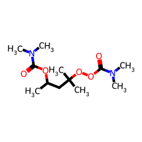 CC(CC(C)(C)OOC(=O)N(C)C)OC(=O)N(C)C